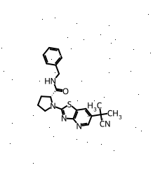 CC(C)(C#N)c1cnc2nc(N3CCC[C@@H]3C(=O)NCc3ccccc3)sc2c1